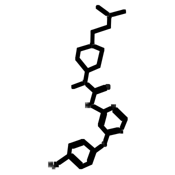 CN(C)CCN1CCC(N(C)C(=O)Nc2cc(Oc3ccc(N)cc3)ncn2)CC1